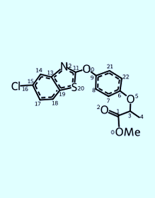 COC(=O)C(C)Oc1ccc(Oc2nc3cc(Cl)ccc3s2)cc1